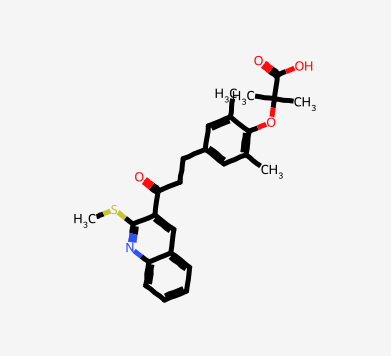 CSc1nc2ccccc2cc1C(=O)CCc1cc(C)c(OC(C)(C)C(=O)O)c(C)c1